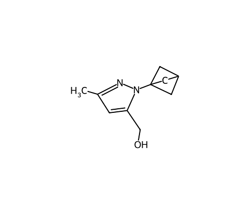 Cc1cc(CO)n(C23CC(C2)C3)n1